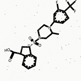 CC1CN(S(=O)(=O)[C@H]2CC(C(=O)O)c3ccccc32)CCN1c1ccc(C(F)(F)F)c(F)c1